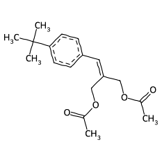 CC(=O)OCC(=Cc1ccc(C(C)(C)C)cc1)COC(C)=O